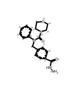 NNC(=O)c1ccc(CN(C(=O)N2CCOCC2)c2ccccc2)cc1